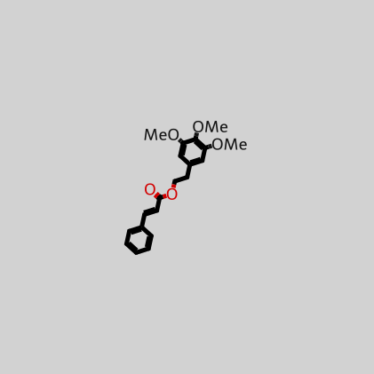 COc1cc(CCOC(=O)/C=C/c2ccccc2)cc(OC)c1OC